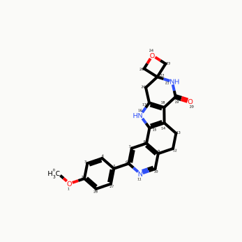 COc1ccc(-c2cc3c(cn2)CCc2c-3[nH]c3c2C(=O)NC2(COC2)C3)cc1